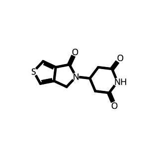 O=C1CC(N2Cc3cscc3C2=O)CC(=O)N1